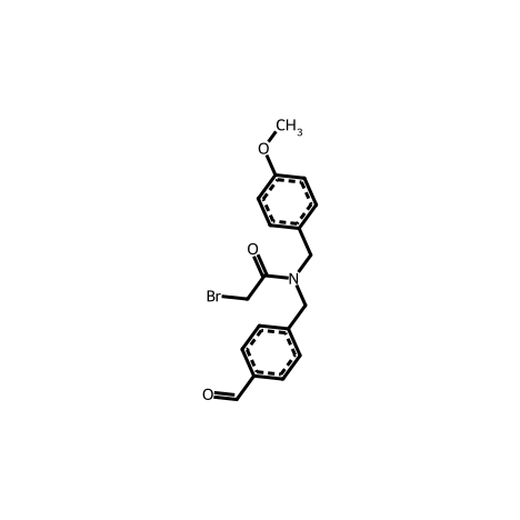 COc1ccc(CN(Cc2ccc(C=O)cc2)C(=O)CBr)cc1